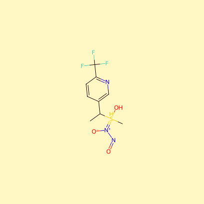 CC(c1ccc(C(F)(F)F)nc1)[SH](C)(O)=[N+]([O-])N=O